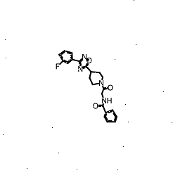 O=C(NCC(=O)N1CCC(c2nc(-c3cccc(F)c3)no2)CC1)c1ccccc1